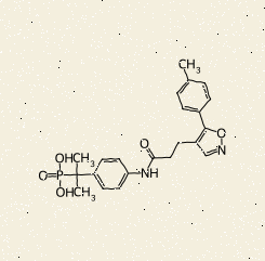 Cc1ccc(-c2oncc2CCC(=O)Nc2ccc(C(C)(C)P(=O)(O)O)cc2)cc1